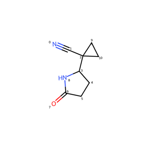 N#CC1(C2CCC(=O)N2)[CH]C1